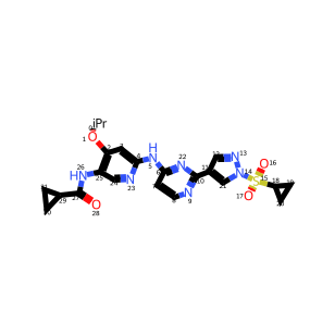 CC(C)Oc1cc(Nc2ccnc(-c3cnn(S(=O)(=O)C4CC4)c3)n2)ncc1NC(=O)C1CC1